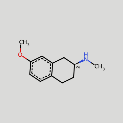 CN[C@H]1CCc2ccc(OC)cc2C1